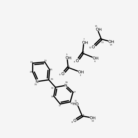 O=C(O)O.O=C(O)O.O=C(O)O.O=C(O)O.c1ccc(-c2ccccn2)nc1